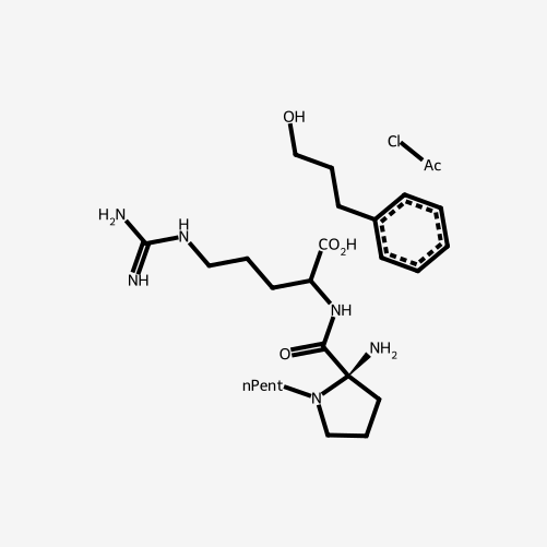 CC(=O)Cl.CCCCCN1CCC[C@@]1(N)C(=O)NC(CCCNC(=N)N)C(=O)O.OCCCc1ccccc1